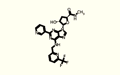 CNC(=O)[C@@H]1C[C@@H](O)[C@H](n2cnc3c(NCc4cccc(C(F)(F)F)n4)nc(-c4cccnc4)nc32)O1